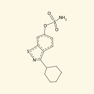 NS(=O)(=O)Oc1ccc2c(C3CCCCC3)nsc2c1